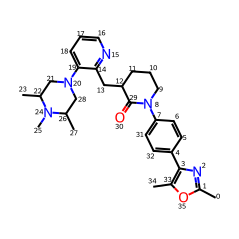 Cc1nc(-c2ccc(N3CCCC(Cc4ncccc4N4CC(C)N(C)C(C)C4)C3=O)cc2)c(C)o1